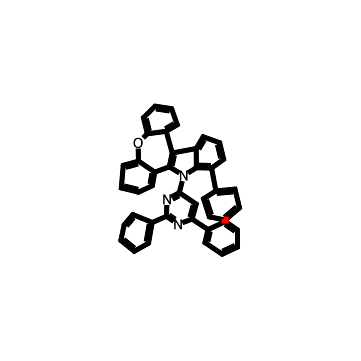 c1ccc(-c2cc(-n3c4c(c5cccc(-c6ccccc6)c53)-c3ccccc3Oc3ccccc3-4)nc(-c3ccccc3)n2)cc1